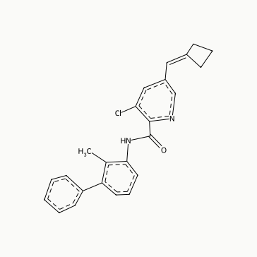 Cc1c(NC(=O)c2ncc(C=C3CCC3)cc2Cl)cccc1-c1ccccc1